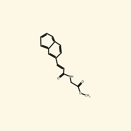 COC(=O)CNC(=O)/C=C/c1ccc2ccccc2c1